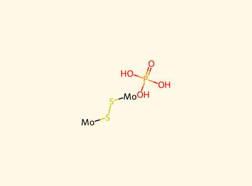 O=P(O)(O)O.[Mo][S][S][Mo]